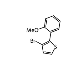 COc1ccccc1-c1sccc1Br